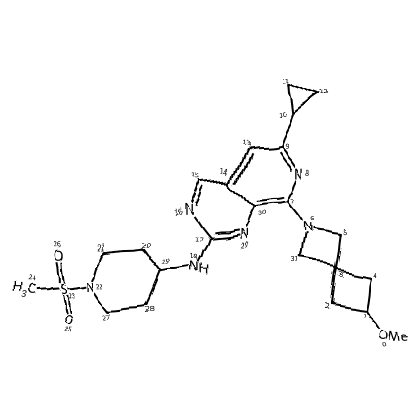 COC1CC2(C1)CN(c1nc(C3CC3)cc3cnc(NC4CCN(S(C)(=O)=O)CC4)nc13)C2